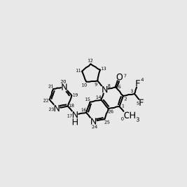 Cc1c(C(F)F)c(=O)n(C2CCCC2)c2cc(Nc3cnccn3)ncc12